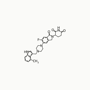 Cc1cccc2[nH]cc(CN3CCN(c4cc5c(cc4F)C(=O)N(C4CCC(=O)NC4=O)C5)CC3)c12